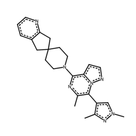 Cc1nn(C)cc1-c1c(C)nc(N2CCC3(CC2)Cc2cccnc2C3)c2ccnn12